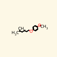 COc1ccc(OCCCCC(C)C)cc1